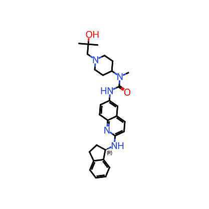 CN(C(=O)Nc1ccc2nc(N[C@@H]3CCc4ccccc43)ccc2c1)C1CCN(CC(C)(C)O)CC1